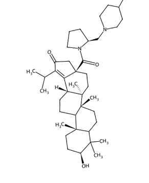 CC(C)C1=C2[C@H]3CCC4[C@@]5(C)CC[C@H](O)C(C)(C)C5CC[C@@]4(C)[C@]3(C)CC[C@@]2(C(=O)N2CCC[C@H]2CN2CCC(F)CC2)CC1=O